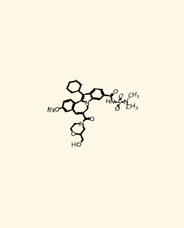 COc1ccc2c(c1)C=C(C(=O)N1CCOC(CO)C1)Cn1c-2c(C2CCCCC2)c2ccc(C(=O)NS(=O)(=O)N(C)C)cc21